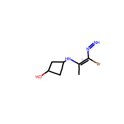 C/C(NC1CC(O)C1)=C(\Br)N=N